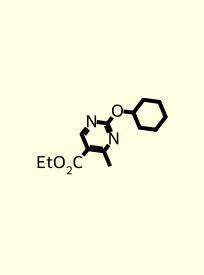 CCOC(=O)c1cnc(OC2CCCCC2)nc1C